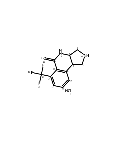 Cl.O=C1NC2CNCC2c2cccc(C(F)(F)F)c21